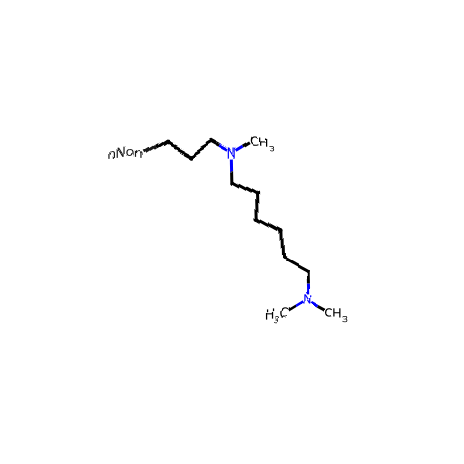 CCCCCCCCCCCCN(C)CCCCCCN(C)C